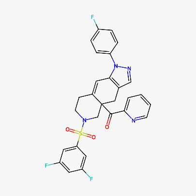 O=C(c1ccccn1)C12Cc3cnn(-c4ccc(F)cc4)c3C=C1CCN(S(=O)(=O)c1cc(F)cc(F)c1)C2